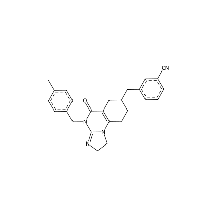 Cc1ccc(CN2C(=O)C3=C(CCC(Cc4cccc(C#N)c4)C3)N3CCN=C23)cc1